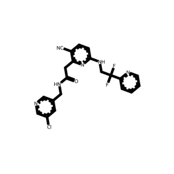 N#Cc1ccc(NCC(F)(F)c2ccccn2)nc1CC(=O)NCc1cncc(Cl)c1